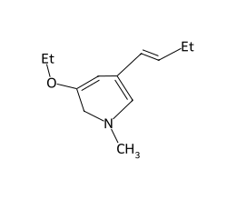 CC/C=C/C1=CN(C)CC(OCC)=C1